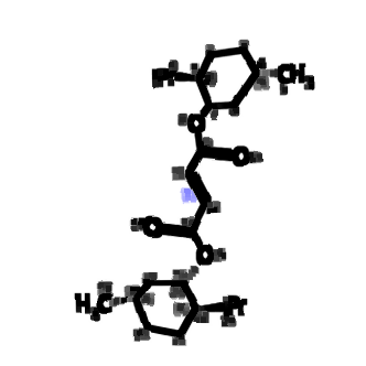 CC(C)[C@H]1CC[C@H](C)CC1OC(=O)/C=C/C(=O)O[C@H]1C[C@@H](C)CC[C@@H]1C(C)C